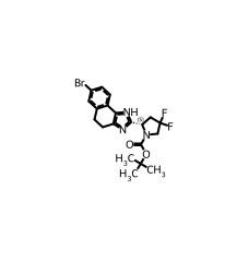 CC(C)(C)OC(=O)N1CC(F)(F)C[C@H]1c1nc2c([nH]1)-c1ccc(Br)cc1CC2